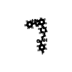 O=C(NCCN1CCN(c2cccc3[nH]c(-c4ccccc4)nc23)CC1)c1ccc(F)cc1